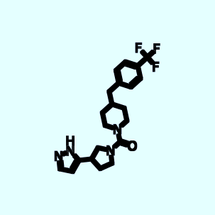 O=C(N1CCC(Cc2ccc(C(F)(F)F)cc2)CC1)N1CCC(c2ccn[nH]2)C1